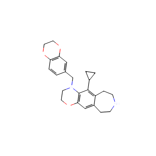 c1cc2c(cc1CN1CCOc3cc4c(c(C5CC5)c31)CCNCC4)OCCO2